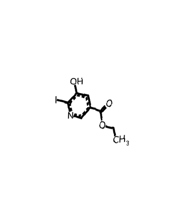 CCOC(=O)c1cnc(I)c(O)c1